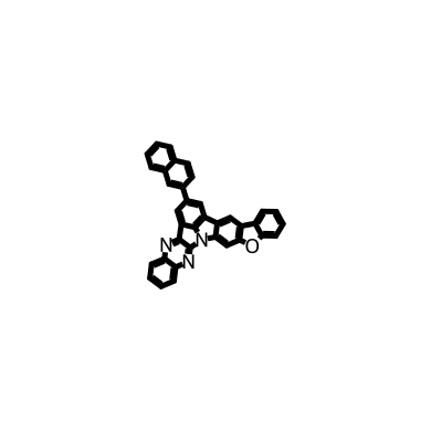 c1ccc2cc(-c3cc4c5cc6c(cc5n5c7nc8ccccc8nc7c(c3)c45)oc3ccccc36)ccc2c1